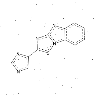 c1ccc2c(c1)nc1nc(-c3cncs3)sn12